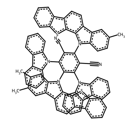 Cc1ccc2c(c1)c1ccc3c4ccccc4sc3c1n2-c1c(C#N)c(-n2c3ccccc3c3ccccc32)c(-n2c3cc(C)c(C)cc3c3ccc4c5ccccc5sc4c32)c(-n2c3ccccc3c3ccccc32)c1C#N